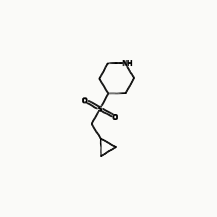 O=S(=O)(CC1CC1)C1CCNCC1